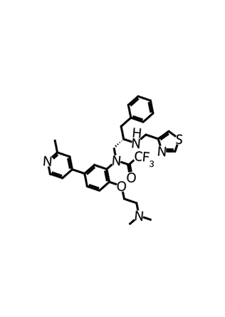 Cc1cc(-c2ccc(OCCN(C)C)c(N(C[C@H](Cc3ccccc3)NCc3cscn3)C(=O)C(F)(F)F)c2)ccn1